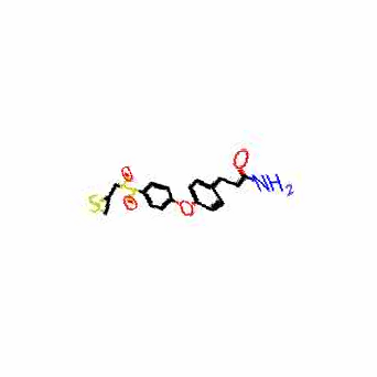 NC(=O)CCc1ccc(Oc2ccc(S(=O)(=O)CC3CS3)cc2)cc1